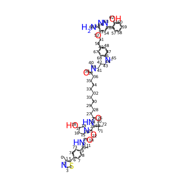 Cc1ncsc1-c1ccc([C@H](C)NC(=O)[C@@H]2C[C@@H](O)CN2C(=O)[C@@H](NC(=O)CCCCCCCCCCC(=O)N(C)CCCN(C)c2ccc(CCOc3cc(-c4ccccc4O)nnc3N)cc2)C(C)(C)C)cc1